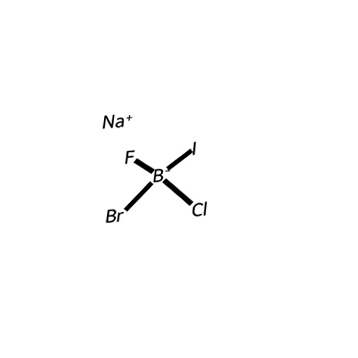 F[B-](Cl)(Br)I.[Na+]